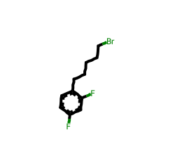 Fc1ccc(CCCCCBr)c(F)c1